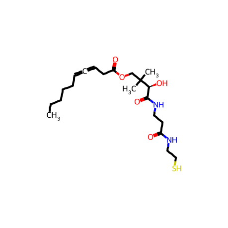 CCCCCC=C=CCC(=O)OCC(C)(C)[C@@H](O)C(=O)NCCC(=O)NCCS